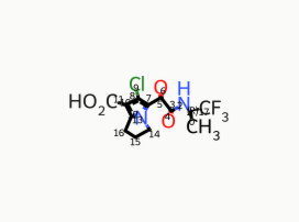 C[C@@H](NC(=O)C(=O)c1c(Cl)c(C(=O)O)c2n1CCC2)C(F)(F)F